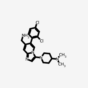 CN(C)C1CCN(c2cnc3cc(CN)c(-c4ccc(Cl)cc4Cl)cn23)CC1